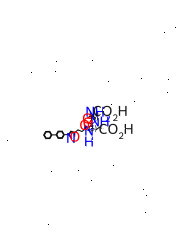 NC(=O)[C@H](CC(=O)O)NC(=O)[C@H](CCC(=O)O)NC(=O)CCc1cc(-c2ccc(-c3ccccc3)cc2)no1